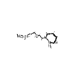 O=C(O)COCCC1CCCCN1